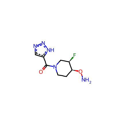 NO[C@H]1CCN(C(=O)c2cnn[nH]2)C[C@H]1F